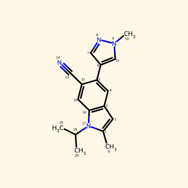 Cc1cc2cc(-c3cnn(C)c3)c(C#N)cc2n1C(C)C